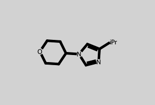 CC(C)c1cn(C2CCOCC2)cn1